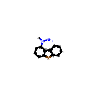 CN(N)c1cccc2sc3ccccc3c12